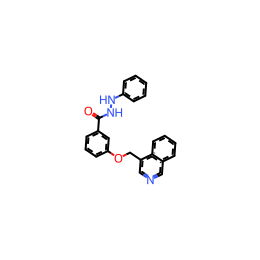 O=C(NNc1ccccc1)c1cccc(OCc2cncc3ccccc23)c1